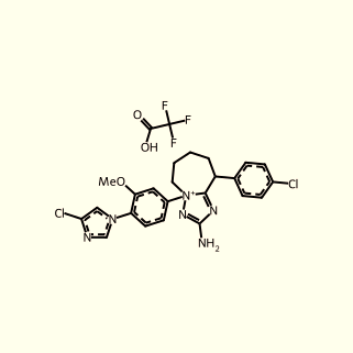 COc1cc([N+]23CCCCC(c4ccc(Cl)cc4)C2=NC(N)=N3)ccc1-n1cnc(Cl)c1.O=C(O)C(F)(F)F